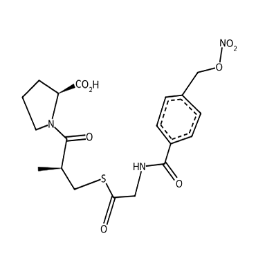 C[C@H](CSC(=O)CNC(=O)c1ccc(CO[N+](=O)[O-])cc1)C(=O)N1CCC[C@H]1C(=O)O